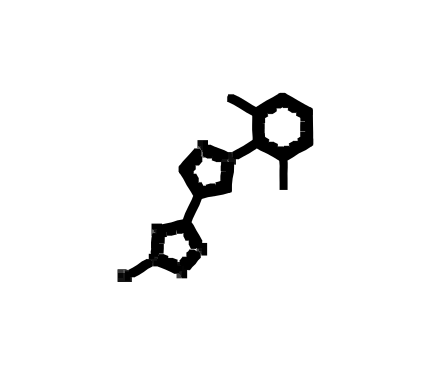 CCn1nnc(-c2cnn(-c3c(C)cccc3C)c2)n1